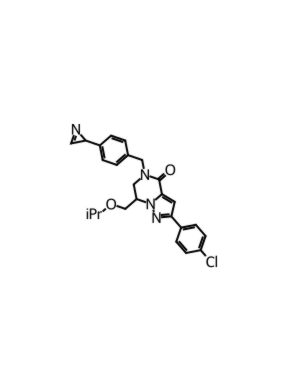 CC(C)OCC1CN(Cc2ccc(C3C=N3)cc2)C(=O)c2cc(-c3ccc(Cl)cc3)nn21